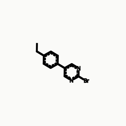 CCc1ccc(-c2cnc(Br)nc2)cc1